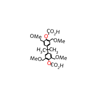 COCc1cc(C(C)(C)c2cc(COC)c(OC(=O)O)c(COC)c2)cc(COC)c1OCC(=O)O